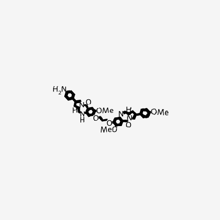 COc1ccc(C2=CN3C(=O)c4cc(OC)c(OCCCOc5cc6c(cc5OC)C(=O)N5C=C(c7ccc(N)cc7)C[C@H]5CN6)cc4N=C[C@@H]3C2)cc1